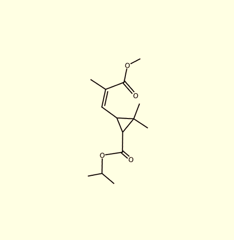 COC(=O)C(C)=CC1C(C(=O)OC(C)C)C1(C)C